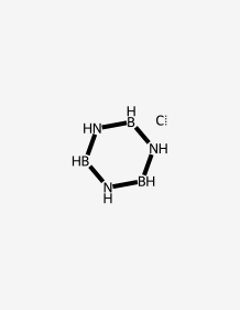 B1NBNBN1.[C]